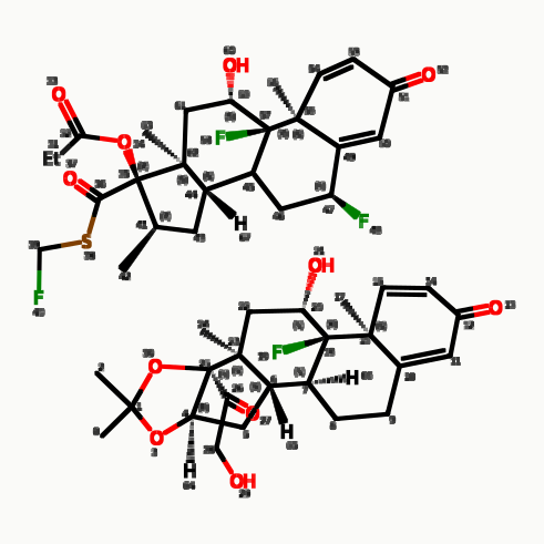 CC1(C)O[C@@H]2C[C@H]3[C@@H]4CCC5=CC(=O)C=C[C@]5(C)[C@@]4(F)[C@@H](O)C[C@]3(C)[C@]2(C(=O)CO)O1.CCC(=O)O[C@]1(C(=O)SCF)[C@H](C)C[C@H]2C3C[C@H](F)C4=CC(=O)C=C[C@]4(C)[C@@]3(F)[C@@H](O)C[C@@]21C